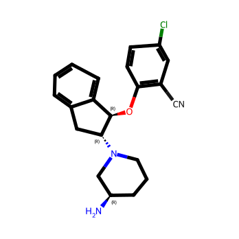 N#Cc1cc(Cl)ccc1O[C@@H]1c2ccccc2C[C@H]1N1CCC[C@@H](N)C1